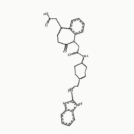 O=C(O)CC1CCC(=O)N(CC(=O)NC2CCC(CNc3nc4ccccc4[nH]3)CC2)c2ccccc21